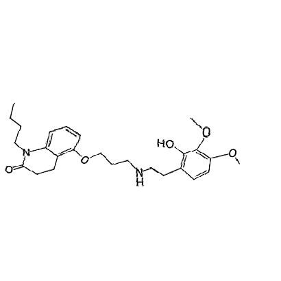 CCCCN1C(=O)CCc2c(OCCCNCCc3ccc(OC)c(OC)c3O)cccc21